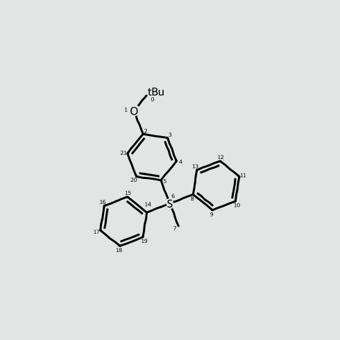 CC(C)(C)Oc1ccc(S(C)(c2ccccc2)c2ccccc2)cc1